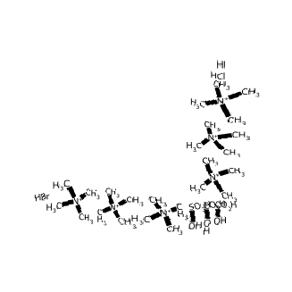 Br.C[N+](C)(C)C.C[N+](C)(C)C.C[N+](C)(C)C.C[N+](C)(C)C.C[N+](C)(C)C.C[N+](C)(C)C.Cl.I.O=C(O)O.O=C(O)O.O=S(=O)(O)O